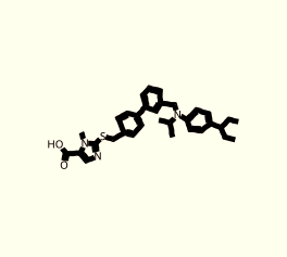 CCC(CC)c1ccc(N(Cc2cccc(-c3ccc(CSc4ncc(C(=O)O)n4C)cc3)c2)C(C)C)cc1